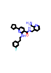 NCc1ncccc1CNC(=O)c1ccc(C2=CCCC2)nc1NCCc1cccc(F)c1